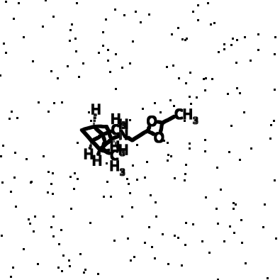 CC1OC(CN[C@@H]2C[C@@H]3C[C@H]([C@H]2C)C3(C)C)O1